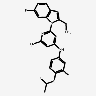 CCc1nc2ccc(F)cc2n1-c1nc(N)cc(Nc2ccc(OC(F)F)c(F)c2)n1